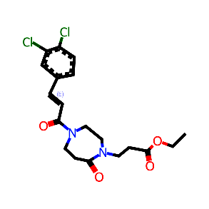 CCOC(=O)CCN1CCN(C(=O)/C=C/c2ccc(Cl)c(Cl)c2)CCC1=O